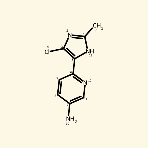 Cc1nc(Cl)c(-c2ccc(N)cn2)[nH]1